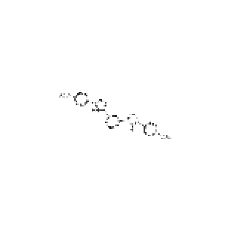 CC(=O)Oc1ccc(-c2ccc(-c3cccc(-c4ccc(-c5ccc(OC(C)=O)cc5)[nH]4)c3)[nH]2)cc1